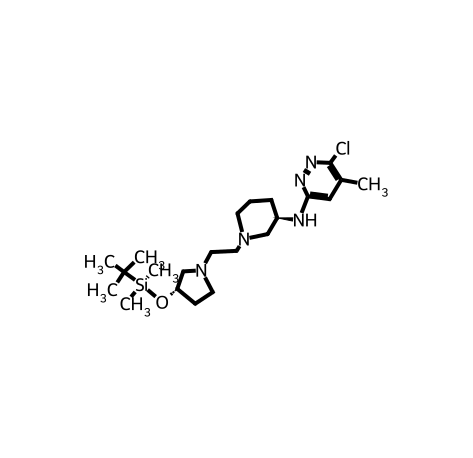 Cc1cc(N[C@@H]2CCCN(CCN3CC[C@H](O[Si](C)(C)C(C)(C)C)C3)C2)nnc1Cl